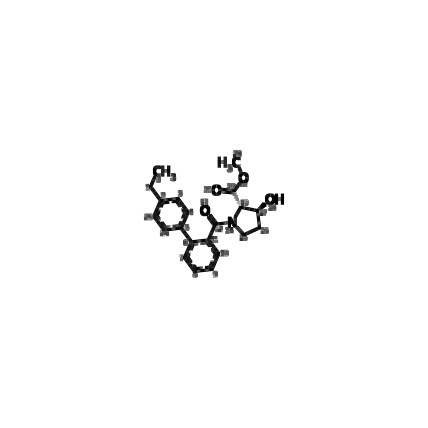 CCc1ccc(-c2ccccc2C(=O)N2CC[C@H](O)[C@H]2C(=O)OC)cc1